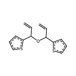 C=CC(OC(C=C)c1cccs1)c1cccs1